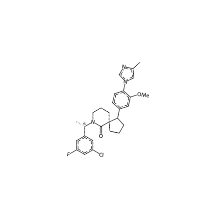 COc1cc(C2CCCC23CCCN([C@@H](C)c2cc(F)cc(Cl)c2)C3=O)ccc1-n1cnc(C)c1